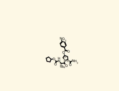 CC(C)(C)[C@H](NC(=O)OC1CCCC1)C(=O)N1C[C@@H](OC(=O)c2ccc([N+](=O)[O-])cc2)C[C@H]1C(N)=O